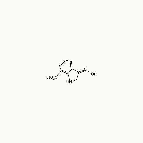 CCOC(=O)c1cccc2c1NCC2=NO